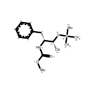 CC(C)(C)OC(=O)N[C@H](Cc1ccccc1)[C@@H](C#N)O[Si](C)(C)C(C)(C)C